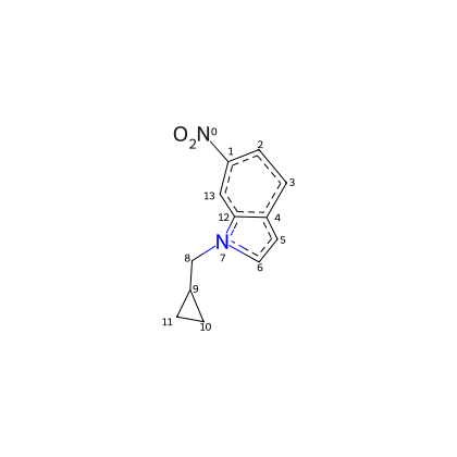 O=[N+]([O-])c1ccc2ccn(CC3CC3)c2c1